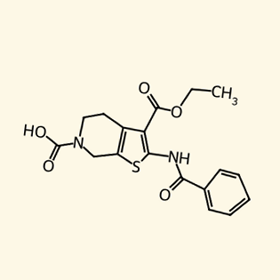 CCOC(=O)c1c(NC(=O)c2ccccc2)sc2c1CCN(C(=O)O)C2